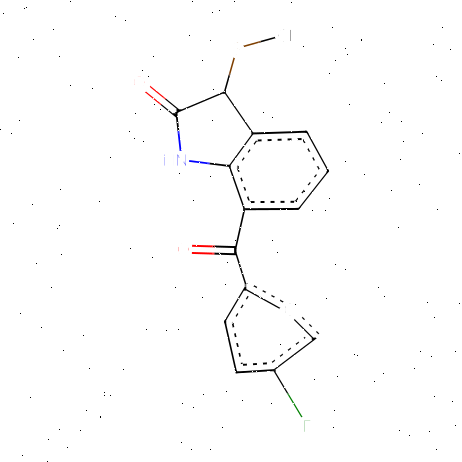 CSC1C(=O)Nc2c(C(=O)c3ccc(F)cc3)cccc21